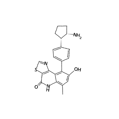 Cc1cc(O)c(-c2ccc([C@@H]3CCC[C@@H]3N)cc2)c2c1[nH]c(=O)c1scnc12